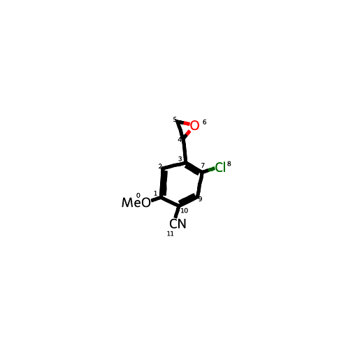 COc1cc(C2CO2)c(Cl)cc1C#N